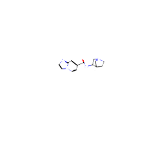 O=C(NC1CN2CC[C@H]1C2)c1ccn2ccnc2c1